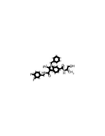 CC(C)c1c(C(=O)NCc2ccc(F)c(F)c2)c2ccc(C(=O)N[C@H](C)CO)cc2n1Cc1ccccc1